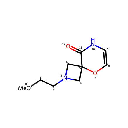 COCCN1CC2(C1)OC=CNC2=O